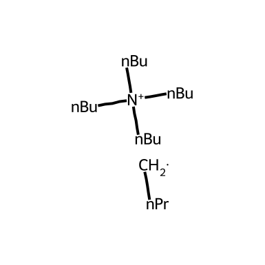 CCCC[N+](CCCC)(CCCC)CCCC.[CH2]CCC